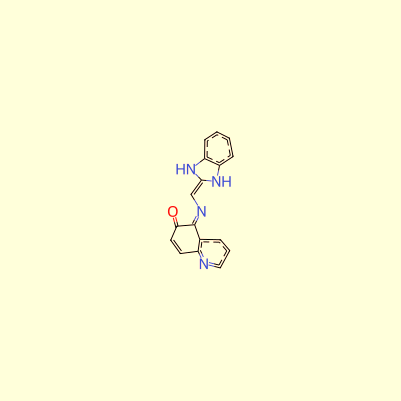 O=C1C=Cc2ncccc2/C1=N/C=C1Nc2ccccc2N1